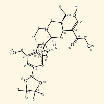 CC[C@@H]1CN2CC[C@@]34OCCO[C@@]3(Nc3cc(B5OC(C)(C)C(C)(C)O5)cc(CO)c34)[C@@H]2C[C@@H]1/C(=C\OC)C(=O)CO